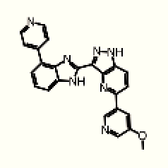 COc1cncc(-c2ccc3[nH]nc(-c4nc5c(-c6ccncc6)cccc5[nH]4)c3n2)c1